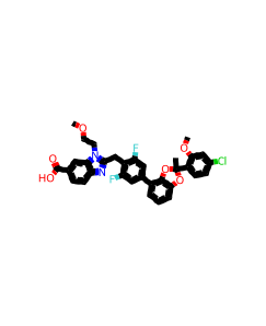 COCCn1c(Cc2c(F)cc(-c3cccc4c3OC(C)(c3ccc(Cl)cc3OC)O4)cc2F)nc2ccc(C(=O)O)cc21